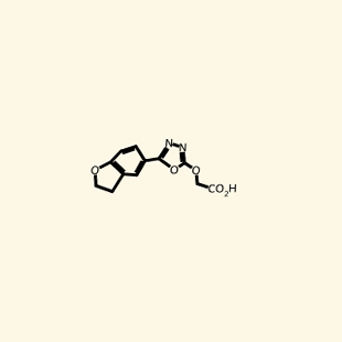 O=C(O)COc1nnc(-c2ccc3c(c2)CCO3)o1